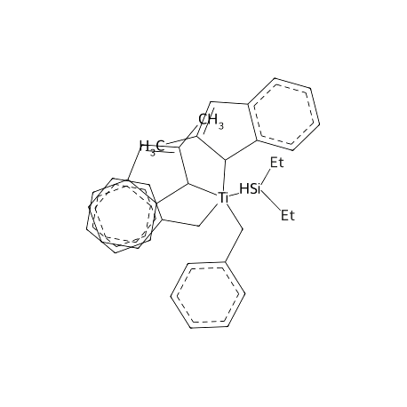 CC[SiH](CC)[Ti]([CH2]c1ccccc1)([CH2]c1ccccc1)([CH]1C(C)=Cc2ccccc21)[CH]1C(C)=Cc2ccccc21